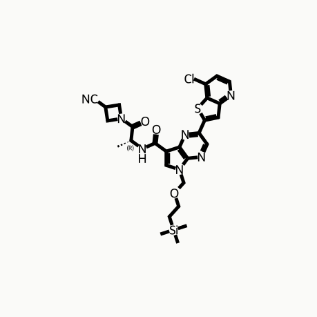 C[C@@H](NC(=O)c1cn(COCC[Si](C)(C)C)c2ncc(-c3cc4nccc(Cl)c4s3)nc12)C(=O)N1CC(C#N)C1